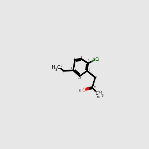 CCc1ccc(Cl)c(CC(C)=O)c1